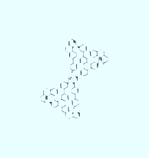 c1cnc2c(c1)CCc1cc(-c3ccccc3-c3cc(-c4ccccc4-c4ccc(-c5cc(-c6ccc(-c7ccccc7-c7cc(-c8ccccc8-c8ccc9c(c8)CCc8cccnc8-9)cc(-c8ccccc8-c8ccc9c(c8)CCc8cccnc8-9)c7)cc6)ncn5)cc4)cc(-c4ccccc4-c4ccc5c(c4)CCc4cccnc4-5)c3)ccc1-2